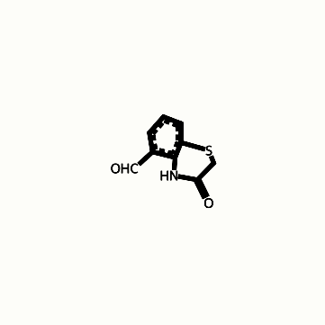 O=Cc1cccc2c1NC(=O)CS2